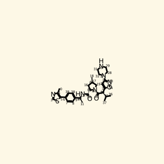 Cc1ncsc1-c1ccc([C@H](C)NC(=O)[C@@H]2C[C@@H](C)CN2C(=O)[C@@H](c2cc(N3CCNCC3)no2)C(C)C)cc1